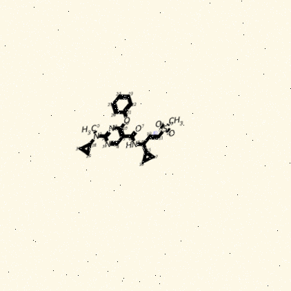 CN(c1ncc(C(=O)NC(/C=C/S(C)(=O)=O)C2CC2)c(Oc2ccccc2)n1)C1CC1